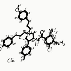 COc1ccc(CCC[N+]2(CCCc3ccc(OC)cc3)CC(c3ccc(C)cc3)[C@H](NC(=O)c3nc(Cl)c(N)nc3N)C2)cc1.[Cl-]